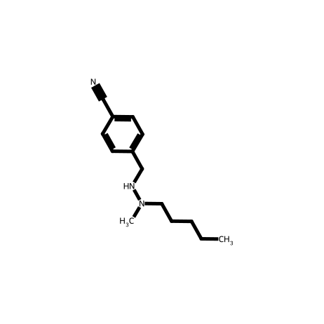 CCCCCN(C)NCc1ccc(C#N)cc1